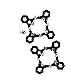 [Ho].c1ccc2c(c1)-c1nc-2nc2[nH]c(nc3nc(nc4[nH]c(n1)c1ccccc41)-c1ccccc1-3)c1ccccc21.c1ccc2c(c1)-c1nc-2nc2[nH]c(nc3nc(nc4[nH]c(n1)c1ccccc41)-c1ccccc1-3)c1ccccc21